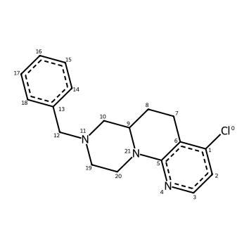 Clc1ccnc2c1CCC1CN(Cc3ccccc3)CCN21